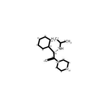 CC(C)N[C@H](C(=O)N1CCOCC1)C1CCCCC1